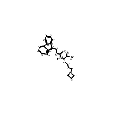 O=C(N[C@@H](CCCCN1CCC1)C(=O)O)OCC1c2ccccc2-c2ccccc21